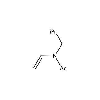 C=CN(CC(C)C)C(C)=O